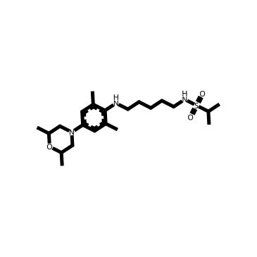 Cc1cc(N2CC(C)OC(C)C2)cc(C)c1NCCCCCNS(=O)(=O)C(C)C